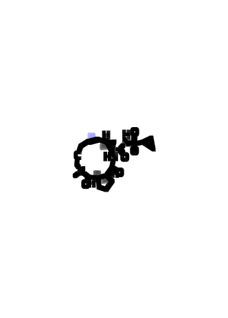 CN1CCC/C=C\[C@@H]2C[C@@]2(C(=O)NS(=O)(=O)C2CC2)NC(=O)[C@@H]2CCC[C@H]2C1=O